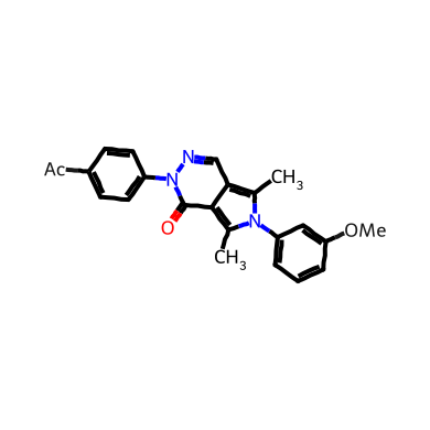 COc1cccc(-n2c(C)c3cnn(-c4ccc(C(C)=O)cc4)c(=O)c3c2C)c1